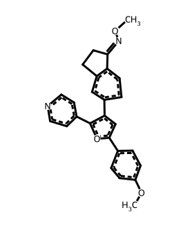 CO/N=C1\CCc2cc(-c3cc(-c4ccc(OC)cc4)oc3-c3ccncc3)ccc21